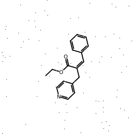 CCOC(=O)C(=Cc1ccccc1)Cc1ccncc1